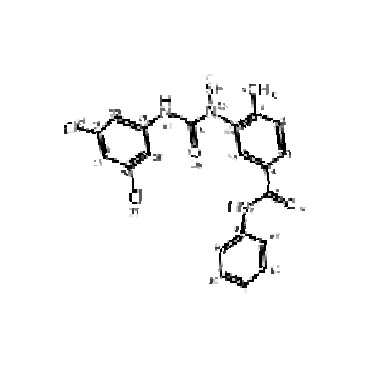 Cc1ccc(C(=O)Nc2ccccc2)cc1N(S)C(=O)Nc1cc(Cl)cc(Cl)c1